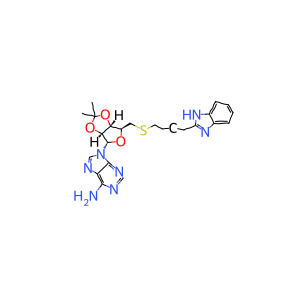 CC1(C)O[C@@H]2[C@H](O1)[C@@H](CSCCCCc1nc3ccccc3[nH]1)O[C@H]2n1cnc2c(N)ncnc21